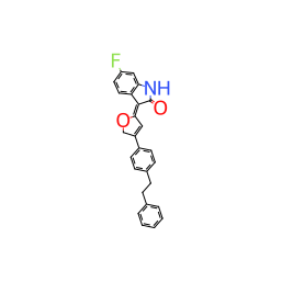 O=C1Nc2cc(F)ccc2/C1=C1/C=C(c2ccc(CCc3ccccc3)cc2)CO1